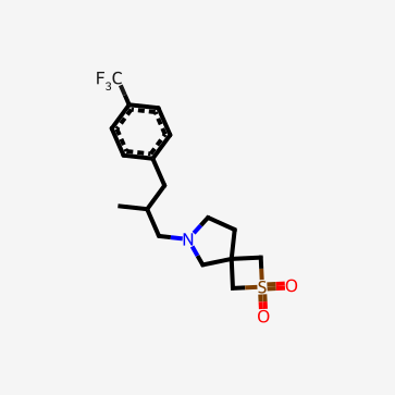 CC(Cc1ccc(C(F)(F)F)cc1)CN1CCC2(C1)CS(=O)(=O)C2